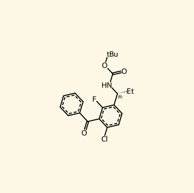 CC[C@@H](NC(=O)OC(C)(C)C)c1ccc(Cl)c(C(=O)c2ccccc2)c1F